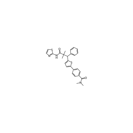 CN(C)C(=O)c1ccc(-c2ccc(C(c3ccccc3)C(C)(C)C(=O)Nc3nccs3)s2)cc1